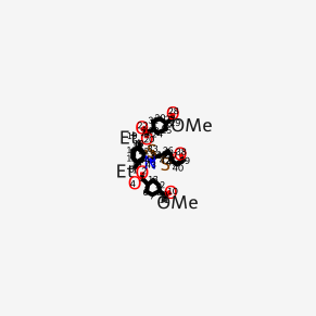 CCC(OC(=O)C1CCC(C(=O)OC)CC1)c1ccc(C(CC)OC(=O)C2CCC(C(=O)OC)CC2)c2sc(-c3cc4occc4s3)nc12